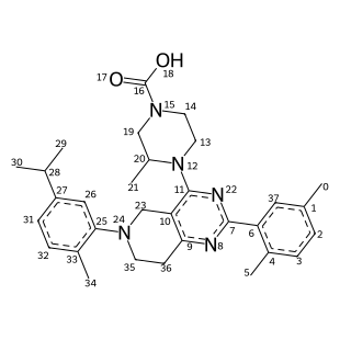 Cc1ccc(C)c(-c2nc3c(c(N4CCN(C(=O)O)CC4C)n2)CN(c2cc(C(C)C)ccc2C)CC3)c1